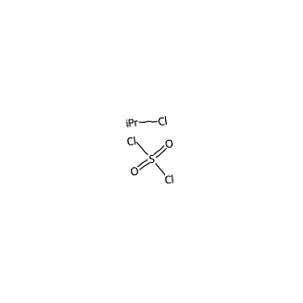 CC(C)Cl.O=S(=O)(Cl)Cl